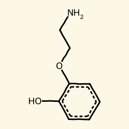 NCCOc1ccccc1O